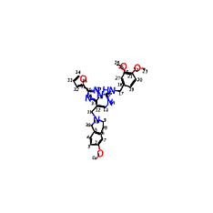 COc1ccc2c(c1)CCN(Cc1cnc(NCc3ccc(OC)c(OC)c3)n3nc(-c4ccco4)nc13)C2